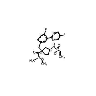 C=CS(=O)(=O)N[C@H]1CC[C@](Cc2ccc(F)c(-c3ncc(F)cn3)c2)(C(=O)N(C)OC)C1